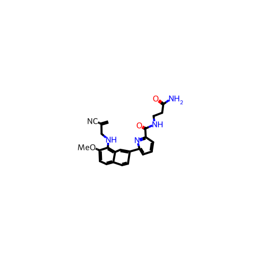 C=C(C#N)CNc1c(OC)ccc2ccc(-c3cccc(C(=O)NCCC(N)=O)n3)cc12